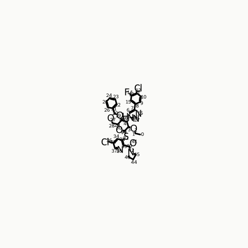 CCOC1C(n2cc(-c3ccc(Cl)c(F)c3)nn2)[C@H]2OC(c3ccccc3)OCC2O[C@@H]1Sc1cc(Cl)cnc1C(=O)N1CCC1